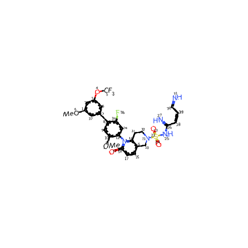 COc1cc(OC(F)(F)F)cc(-c2cc(OC)c(-n3c4c(ccc3=O)CN(S(=O)(=O)NC(=N)/C=C\C=N)CC4)cc2F)c1